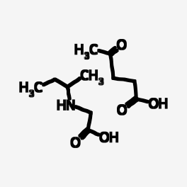 CC(=O)CCC(=O)O.CCC(C)NCC(=O)O